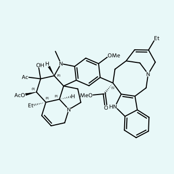 CCC1=CC2CN(C1)Cc1c([nH]c3ccccc13)[C@@](C(=O)OC)(c1cc3c(cc1OC)N(C)[C@H]1C(O)(C(C)=O)[C@H](OC(C)=O)[C@]4(CC)C=CCN5CCC31[C@@H]54)C2